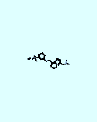 CCCCS(=O)(=O)c1cccc(CCc2nccn3c(CN(C)C)ccc23)c1